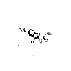 CCc1c(NC(=O)OC(C)(C)C)[nH]c2ccc(CN)cc12